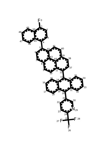 Fc1ccc(-c2ccc3ccc4c(-c5c6ccccc6c(-c6ccc(C(F)(F)F)nc6)c6ccccc56)ccc5ccc2c3c54)c2ccccc12